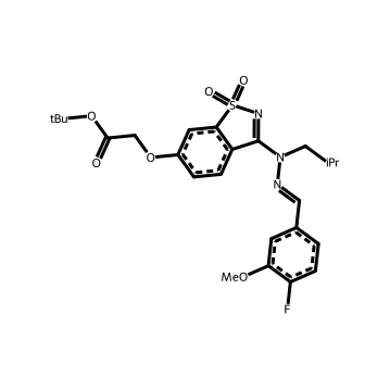 COc1cc(/C=N/N(CC(C)C)C2=NS(=O)(=O)c3cc(OCC(=O)OC(C)(C)C)ccc32)ccc1F